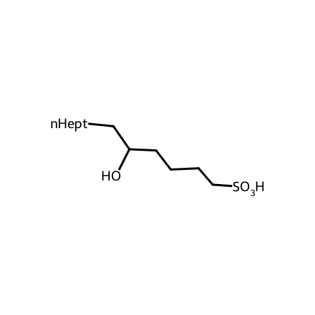 CCCCCCCCC(O)CCCCS(=O)(=O)O